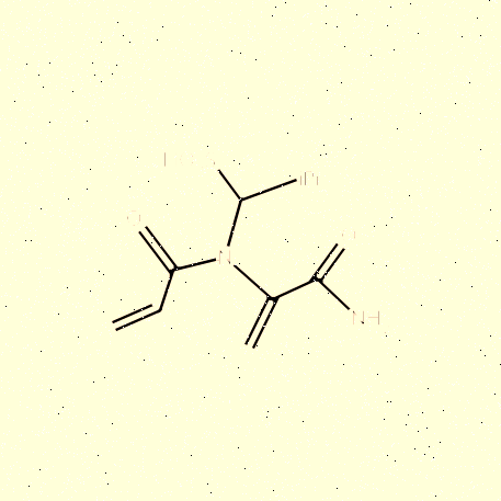 C=CC(=O)N(C(=C)C(N)=O)C(C(C)C)S(=O)(=O)O